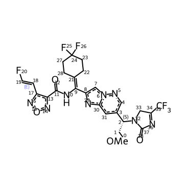 COC[C@H](c1cnn2cc(C(NC(=O)c3nonc3/C=C/F)=C3CCC(F)(F)CC3)nc2c1)N1CC(C(F)(F)F)=NC1=O